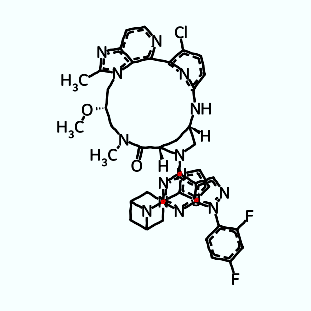 CO[C@H]1CN(C)C(=O)[C@@H]2C[C@@H](CN2c2nc(N3C4CC3CN(c3nccs3)C4)nc3c2cnn3-c2ccc(F)cc2F)Nc2ccc(Cl)c(n2)-c2nccc3nc(C)n(c23)C1